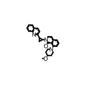 COC1CCN(c2cccc3ccn(C4CC4c4ccc5ccccc5n4)c(=O)c23)CC1